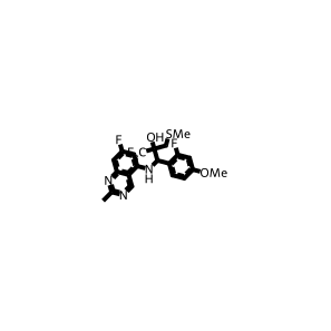 COc1ccc(C(Nc2cc(F)cc3nc(C)ncc23)C(O)(CSC)C(F)(F)F)c(F)c1